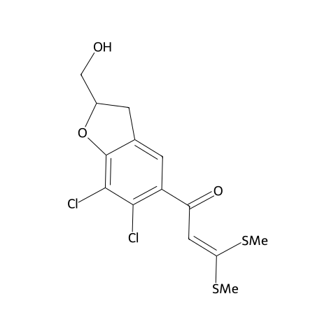 CSC(=CC(=O)c1cc2c(c(Cl)c1Cl)OC(CO)C2)SC